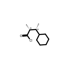 C[C@H](C1CCCCC1)[C@@H](C)C(=O)Cl